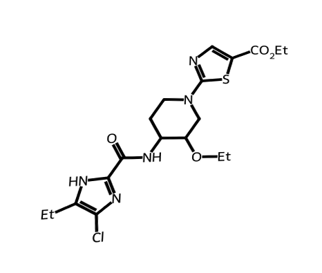 CCOC(=O)c1cnc(N2CCC(NC(=O)c3nc(Cl)c(CC)[nH]3)C(OCC)C2)s1